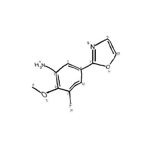 COc1c(N)cc(-c2ncco2)cc1F